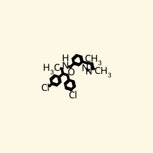 CC1=CC(C)(c2cccc(C(=O)NC(C)C(Cc3ccc(Cl)cc3)c3ccc(Cl)cc3)c2)N=N1